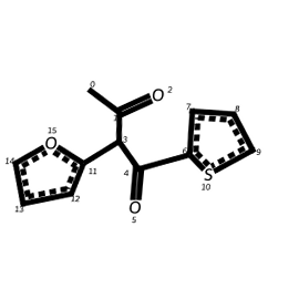 CC(=O)C(C(=O)c1cccs1)c1ccco1